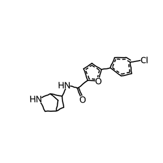 O=C(NC1CC2CNC1C2)c1ccc(-c2ccc(Cl)cc2)o1